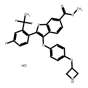 COC(=O)c1ccc2c(Oc3ccc(OC4CNC4)cc3)c(-c3ccc(F)cc3C(C)(F)F)sc2c1.Cl